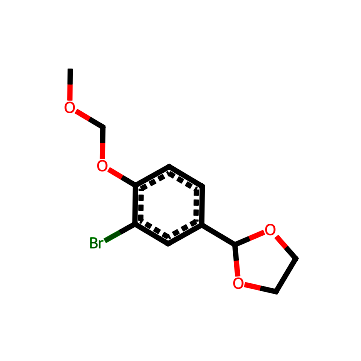 COCOc1ccc(C2OCCO2)cc1Br